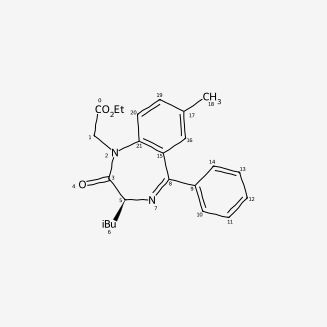 CCOC(=O)CN1C(=O)[C@H](C(C)CC)N=C(c2ccccc2)c2cc(C)ccc21